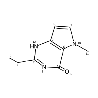 CCc1nc(=O)c2c(ccn2C)[nH]1